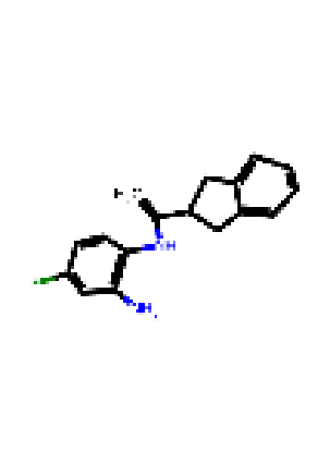 C=C(Nc1ccc(F)cc1N)C1Cc2ccccc2C1